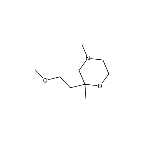 COCCC1(C)CN(C)CCO1